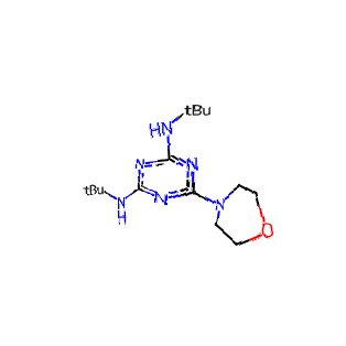 CC(C)(C)Nc1nc(NC(C)(C)C)nc(N2CCOCC2)n1